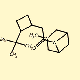 CCC(C)C(C)(C)C1CCC1CC(=O)N1C2CC1CN(C)C2